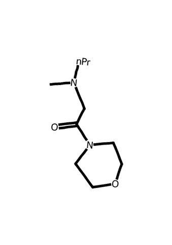 CCCN(C)CC(=O)N1CCOCC1